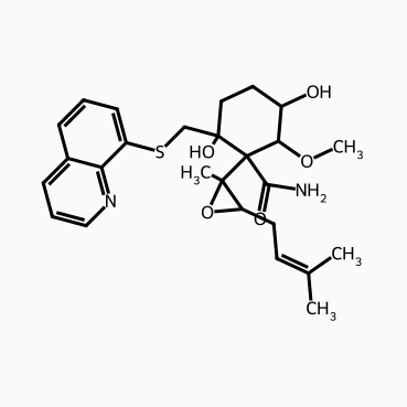 COC1C(O)CCC(O)(CSc2cccc3cccnc23)C1(C(N)=O)C1(C)OC1CC=C(C)C